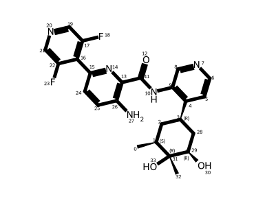 C[C@H]1C[C@@H](c2ccncc2NC(=O)c2nc(-c3c(F)cncc3F)ccc2N)C[C@@H](O)[C@]1(C)O